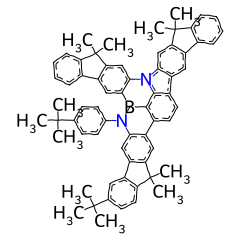 CC(C)(C)c1ccc(N2B3c4cc5c(cc4-n4c6cc7c(cc6c6ccc(c3c64)-c3cc4c(cc32)-c2cc(C(C)(C)C)ccc2C4(C)C)-c2ccccc2C7(C)C)C(C)(C)c2ccccc2-5)cc1